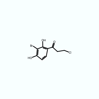 O=C(CCCl)c1ccc(O)c(Br)c1O